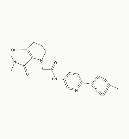 Cc1ccc(-c2ccc(NC(=O)CN3CCCC(C=O)=C3C(=O)N(C)C)cn2)cc1